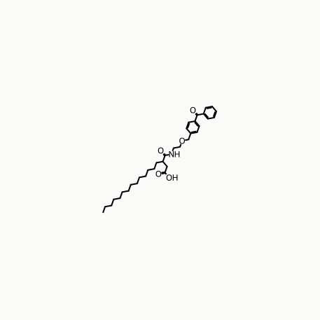 CCCCCCCCCCCCCCC(CC(=O)O)C(=O)NCCOCc1ccc(C(=O)c2ccccc2)cc1